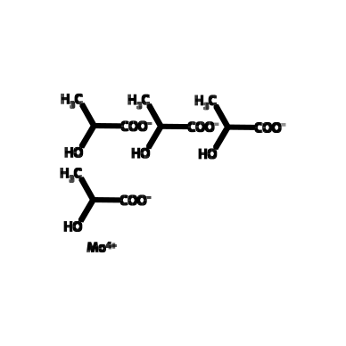 CC(O)C(=O)[O-].CC(O)C(=O)[O-].CC(O)C(=O)[O-].CC(O)C(=O)[O-].[Mo+4]